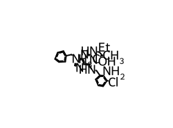 CCC(Nc1nc(NCc2cccc(Cl)c2N)c2ncn(Cc3ccccc3)c2n1)C(C)(C)O